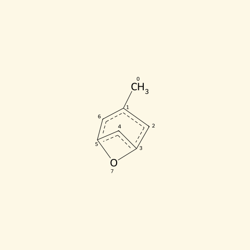 Cc1cc2cc(c1)O2